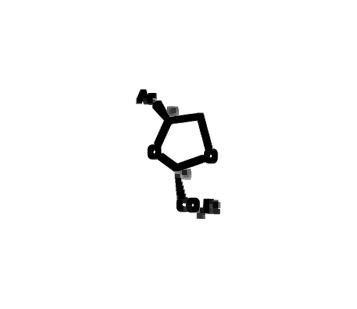 CCOC(=O)[C@H]1OC[C@H](C(C)=O)O1